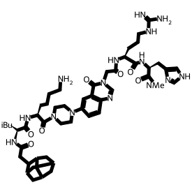 CC[C@H](C)[C@H](NC(=O)CC1C2CC3CC(C2)CC1C3)C(=O)N[C@@H](CCCCN)C(=O)N1CCN(c2ccc3ncn(CC(=O)N[C@@H](CCCNC(=N)N)C(=O)N[C@@H](Cc4c[nH]cn4)C(=O)NC)c(=O)c3c2)CC1